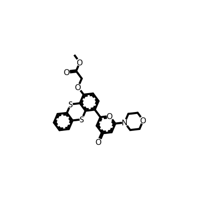 COC(=O)COc1ccc(-c2cc(=O)cc(N3CCOCC3)o2)c2c1Sc1ccccc1S2